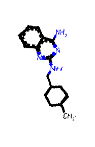 [CH2]C1CCC(CNc2nc(N)c3ccccc3n2)CC1